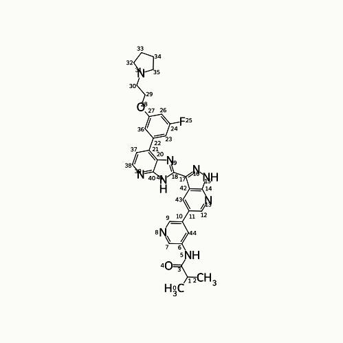 CC(C)C(=O)Nc1cncc(-c2cnc3[nH]nc(-c4nc5c(-c6cc(F)cc(OCCN7CCCC7)c6)ccnc5[nH]4)c3c2)c1